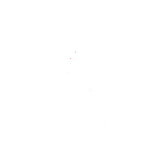 Cc1cc(C(C)(C)C)cc(C)c1N1c2cc(C(C)C)cc3c2B(c2cc(-c4csc5ccccc45)ccc2N3c2c(C)cc(C(C)(C)C)cc2-c2ccccc2)c2c1oc1ccc(C(C)(C)C)cc21